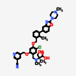 Cc1c(COc2cc(OCc3cncc(C#N)c3)c(CN(C)[C@@](C)(CO)C(=O)O)cc2Cl)cccc1-c1ccc2oc(N3CCN(C)CC3)nc2c1